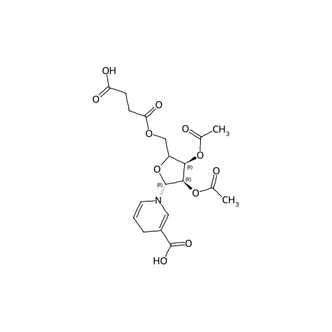 CC(=O)O[C@@H]1[C@H](OC(C)=O)C(COC(=O)CCC(=O)O)O[C@H]1N1C=CCC(C(=O)O)=C1